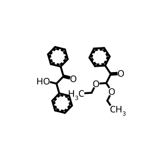 CCOC(OCC)C(=O)c1ccccc1.O=C(c1ccccc1)C(O)c1ccccc1